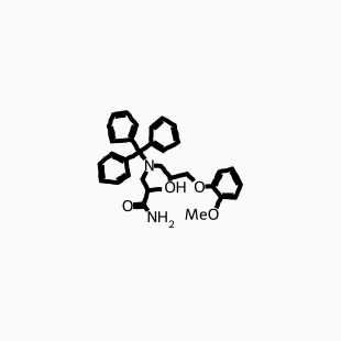 COc1ccccc1OCC(O)CN(CC(C)C(N)=O)C(c1ccccc1)(c1ccccc1)c1ccccc1